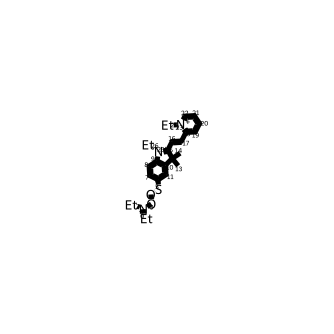 CCN(CC)OOSc1ccc2c(c1)C(C)(C)C(C=Cc1cccc[n+]1CC)=[N+]2CC